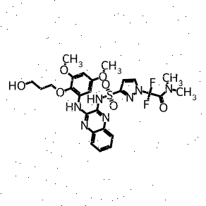 COc1cc(Nc2nc3ccccc3nc2NS(=O)(=O)c2ccn(C(F)(F)C(=O)N(C)C)n2)c(OCCCO)c(OC)c1